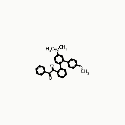 CSc1ccc(-c2cc(N(C)C)ccc2-c2ccccc2C(=O)C(=O)c2ccccc2)cc1